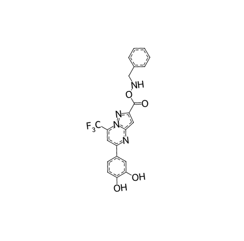 O=C(ONCc1ccccc1)c1cc2nc(-c3ccc(O)c(O)c3)cc(C(F)(F)F)n2n1